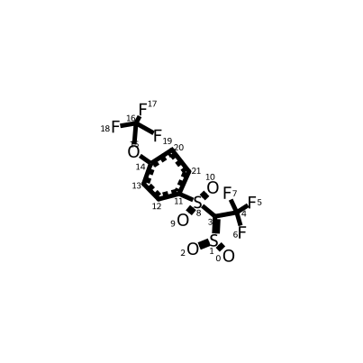 O=S(=O)=C(C(F)(F)F)S(=O)(=O)c1ccc(OC(F)(F)F)cc1